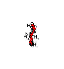 CC(C)(c1ccc(OCc2ccnc(NS(C)(=O)=O)n2)cc1)c1cc(Cl)c(OCCC(=O)NCc2ccc3c(c2)C(=O)N(C2CCC(=O)NC2=O)C3=O)c(C#N)c1